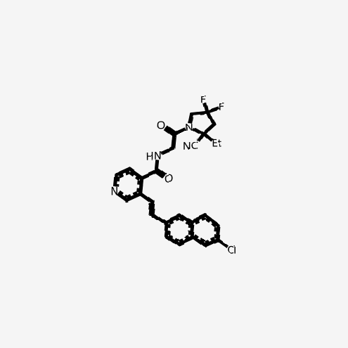 CCC1(C#N)CC(F)(F)CN1C(=O)CNC(=O)c1ccncc1C=Cc1ccc2cc(Cl)ccc2c1